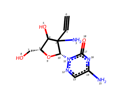 C#CC1(N)C(O)[C@@H](CO)O[C@H]1n1ncc(N)nc1=O